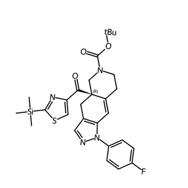 CC(C)(C)OC(=O)N1CCC2=Cc3c(cnn3-c3ccc(F)cc3)C[C@]2(C(=O)c2csc([Si](C)(C)C)n2)C1